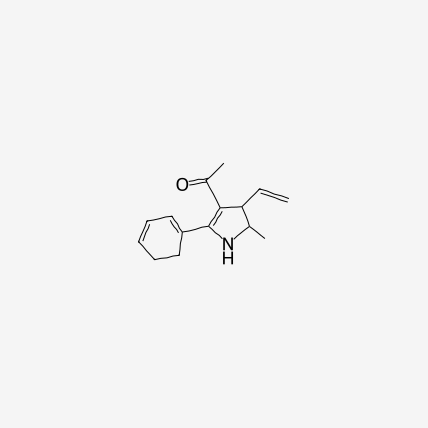 C=CC1C(C(C)=O)=C(C2=CC=CCC2)NC1C